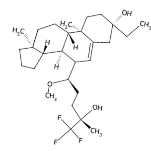 CC[C@]1(O)CC[C@@]2(C)C(=CC([C@@H](CC[C@](C)(O)C(F)(F)F)OC)[C@H]3[C@@H]4CCC[C@@]4(C)CC[C@@H]32)C1